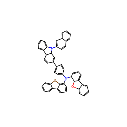 C1=CC(N(c2ccc(C3=CC4C(C=C3)c3ccccc3N4c3ccc4ccccc4c3)cc2)c2cccc3c2sc2ccccc23)C2Oc3ccccc3C2=C1